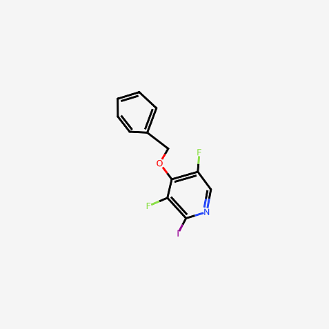 Fc1cnc(I)c(F)c1OCc1ccccc1